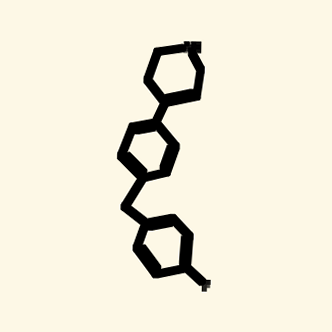 Fc1ccc(Cc2ccc(C3=CCNCC3)cc2)cc1